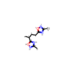 CCc1noc(CCC(C)c2nc(C)no2)n1